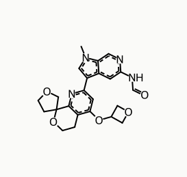 Cn1cc(-c2cc(OC3COC3)c3c(n2)C2(CCOC2)OCC3)c2cc(NC=O)ncc21